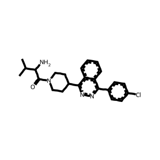 CC(C)C(N)C(=O)N1CCC(c2nnc(-c3ccc(Cl)cc3)c3ccccc23)CC1